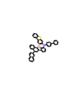 c1ccc(-c2ccc(N(c3ccc4c(c3)sc3ccccc34)c3cccc4c3oc3c5ccccc5c(-c5ccc6ccccc6c5)cc43)cc2)cc1